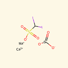 O=S(=O)([O-])C(I)I.O=[Si]([O-])[O-].[Ca+2].[Na+]